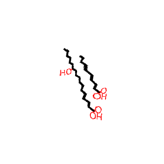 CCCCCCC(O)CCCCCCCCCCC(=O)O.CCCCCCCCCC(=O)O